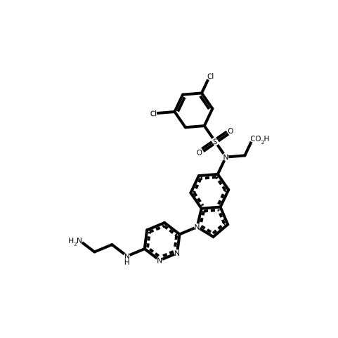 NCCNc1ccc(-n2ccc3cc(N(CC(=O)O)S(=O)(=O)C4C=C(Cl)C=C(Cl)C4)ccc32)nn1